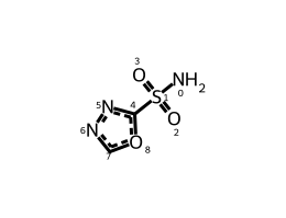 NS(=O)(=O)c1nnco1